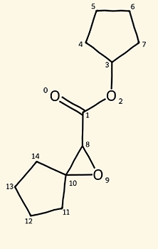 O=C(OC1CCCC1)C1OC12CCCC2